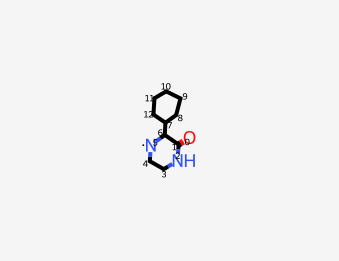 O=C1NCC[N]C1C1CCCCC1